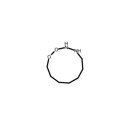 C1CCCNNOOCCC1